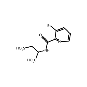 CCc1cccnc1C(=O)NC(CS(=O)(=O)O)C(=O)O